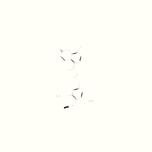 C#COc1c(OC)cc(CNCC(O)c2ccc(O)c3[nH]c(=O)ccc23)cc1OC